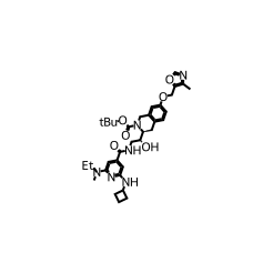 CCN(C)c1cc(C(=O)NC[C@@H](O)[C@@H]2Cc3ccc(OCc4ocnc4C)cc3CN2C(=O)OC(C)(C)C)cc(NC2CCC2)n1